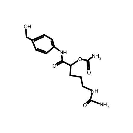 NC(=O)NCCCC(OC(N)=O)C(=O)Nc1ccc(CO)cc1